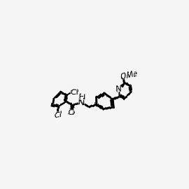 COc1cccc(-c2ccc(CNC(=O)c3c(Cl)cccc3Cl)cc2)n1